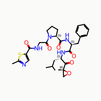 Cc1ncc(C(=O)NCC(=O)N2CCC[C@H]2C(=O)N[C@@H](Cc2ccccc2)C(=O)N[C@@H](CC(C)C)C(=O)[C@@]2(C)CO2)s1